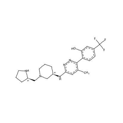 Cc1cc(N[C@@H]2CCCN(C[C@H]3CCCN3)C2)nnc1-c1ccc(C(F)(F)F)cc1O